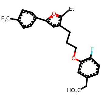 CCc1oc(-c2ccc(C(F)(F)F)cc2)cc1CCCOc1cc(CC(=O)O)ccc1F